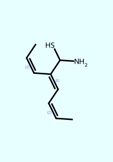 C\C=C/C=C(\C=C/C)C(N)S